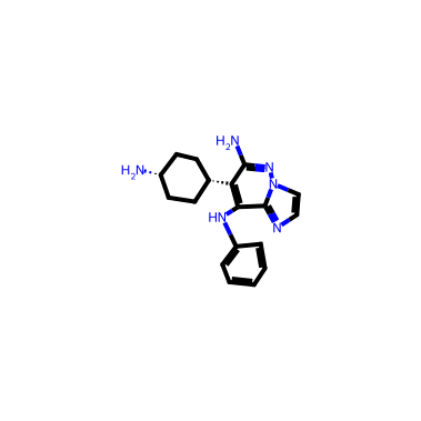 Nc1nn2ccnc2c(Nc2ccccc2)c1[C@H]1CC[C@@H](N)CC1